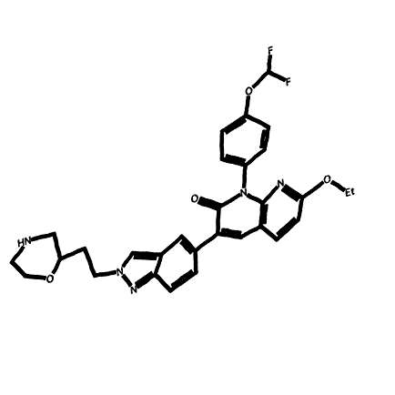 CCOc1ccc2cc(-c3ccc4nn(CCC5CNCCO5)cc4c3)c(=O)n(-c3ccc(OC(F)F)cc3)c2n1